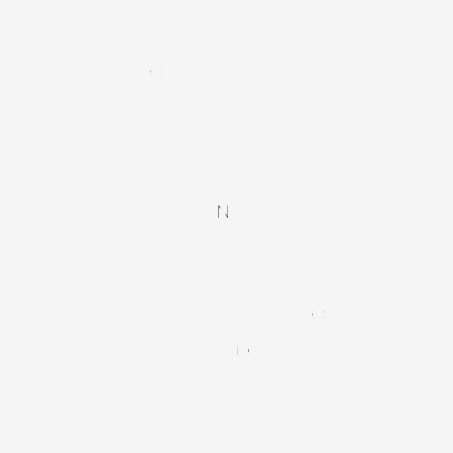 C1CC(N2CCC3(CC2)OCCO3)CCO1